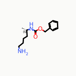 C[C@@H](CCCCN)NC(=O)OCc1ccccc1